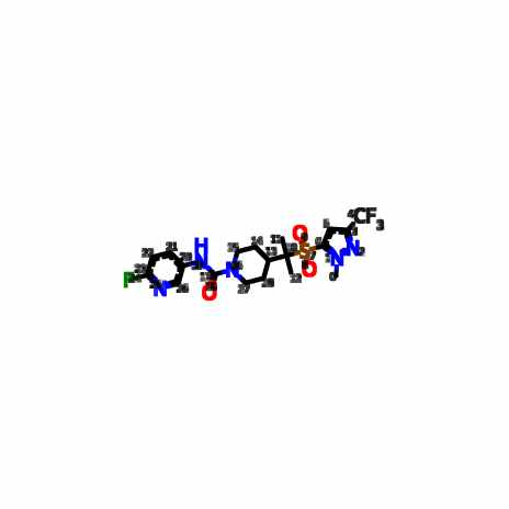 Cn1nc(C(F)(F)F)cc1S(=O)(=O)C(C)(C)C1CCN(C(=O)Nc2ccc(F)nc2)CC1